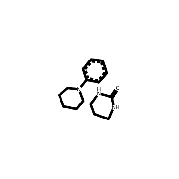 O=C1NCCCN1.c1ccc(N2CCCCC2)cc1